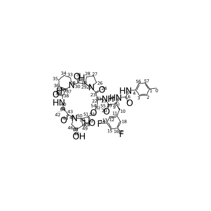 Cc1ccc(NC(=O)N[C@@H](Cc2cc(F)cc(F)c2)C(=O)N[C@@H]2C(=O)N3CCC[C@H]3C(=O)N3CCCC[C@H]3C(=O)N[C@@H](C)C(=O)N3C[C@@H](O)C[C@H]3C(=O)O[C@H]2C)cc1